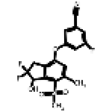 Cc1cc(Oc2cc(F)cc(C#N)c2)c2c(c1S(C)(=O)=O)C(O)C(F)(F)C2